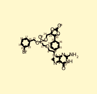 Nc1nc2c(ncn2CCOCP(=O)(OCc2cccc(Br)c2)OCc2oc(=O)oc2-c2ccccc2)c(=O)[nH]1